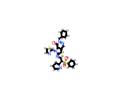 O=c1c2c(cnn1Cc1ccccc1)c1sc(C(c3ccccn3)S(=O)(=O)c3ccccc3)nc1n2-c1nccs1